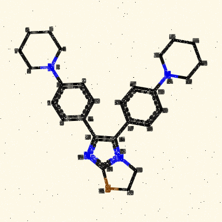 c1cc(N2CCCCC2)ccc1-c1nc2n(c1-c1ccc(N3CCCCC3)cc1)CCS2